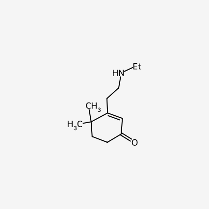 CCNCCC1=CC(=O)CCC1(C)C